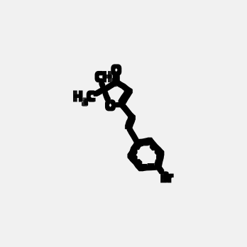 CC1(C)OC(/C=C/c2ccc(Br)cc2)=CC1=O